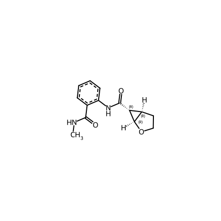 CNC(=O)c1ccccc1NC(=O)[C@@H]1[C@H]2CCO[C@H]21